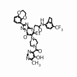 CCc1c(N2CCN(C(=O)c3ncnc(C)c3O)CC2)c(=O)n2nc(-c3cccc4c3OCCO4)nc2n1CC(=O)Nc1ccc(C(F)(F)F)c2c1CC2